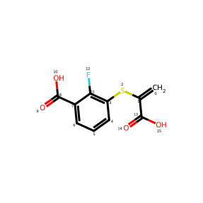 C=C(Sc1cccc(C(=O)O)c1F)C(=O)O